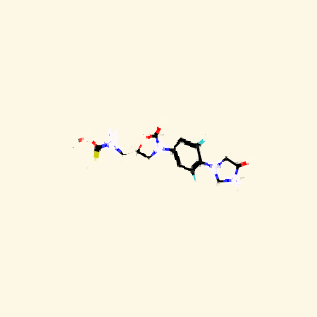 COC(=S)NC[C@@H]1CN(c2cc(F)c(N3CC(=O)N(C)C3)c(F)c2)C(=O)O1